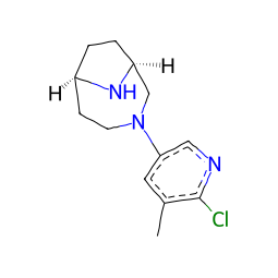 Cc1cc(N2CC[C@H]3CC[C@@H](C2)N3)cnc1Cl